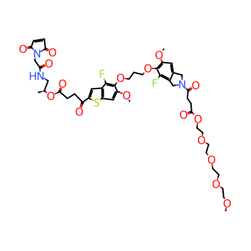 COCCOCCOCCOCCOC(=O)CCC(=O)N1Cc2cc(OC)c(OCCCOc3c(OC)cc4sc(C(=O)CCC(=O)O[C@@H](C)CNC(=O)CN5C(=O)C=CC5=O)cc4c3F)c(F)c2C1